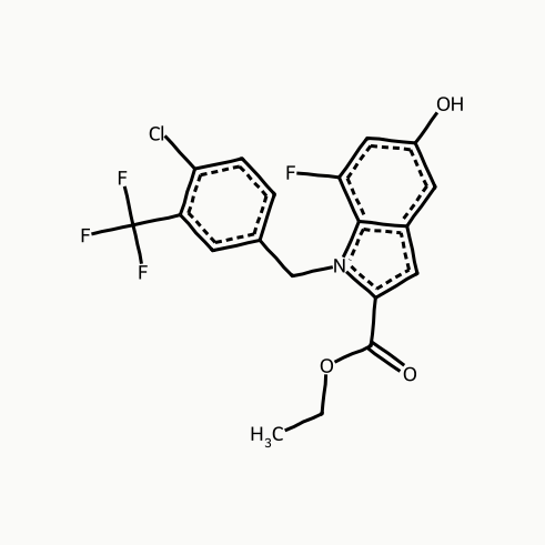 CCOC(=O)c1cc2cc(O)cc(F)c2n1Cc1ccc(Cl)c(C(F)(F)F)c1